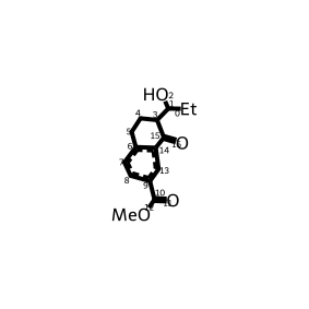 CCC(O)C1CCc2ccc(C(=O)OC)cc2C1=O